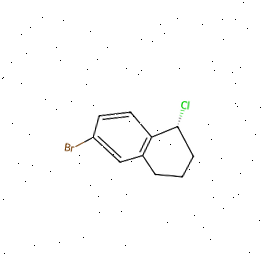 Cl[C@@H]1CCCc2cc(Br)ccc21